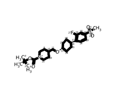 CC(C)(C)OC(=O)N1CCC(CO[C@H]2CC[C@H](c3ccc(S(C)(=O)=O)cc3F)CC2)CC1